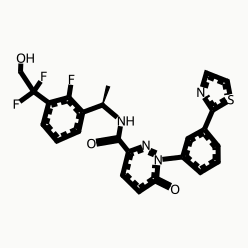 C[C@@H](NC(=O)c1ccc(=O)n(-c2cccc(-c3nccs3)c2)n1)c1cccc(C(F)(F)CO)c1F